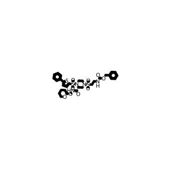 O=C(NCCS(=O)(=O)N1CCN(S(=O)(=O)c2ccc(-c3ccccc3)s2)[C@@H](C(=O)NOC2CCCCO2)C1)OCc1ccccc1